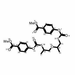 COC(=O)c1ccc(OC(=O)SCC(C)OCC(C)SC(=O)Oc2ccc(C(=O)OC)cc2)cc1